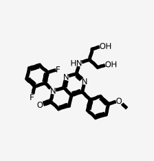 COc1cccc(-c2nc(NC(CO)CO)nc3c2ccc(=O)n3-c2c(F)cccc2F)c1